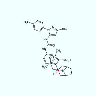 Cc1ccc(-n2nc(C(C)(C)C)cc2NC(=O)Nc2ccc(CC3CC4CCC(C3)N4C(=O)c3c(C)oc(C)c3S(=O)(=O)O)cc2)cc1